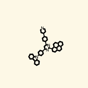 c1cc2ccc3ccc(-c4nc(-c5ccc(-c6ccncc6)cc5)cc(-c5ccc(-n6c7ccccc7c7ccccc76)cc5)n4)c4ccc(c1)c2c34